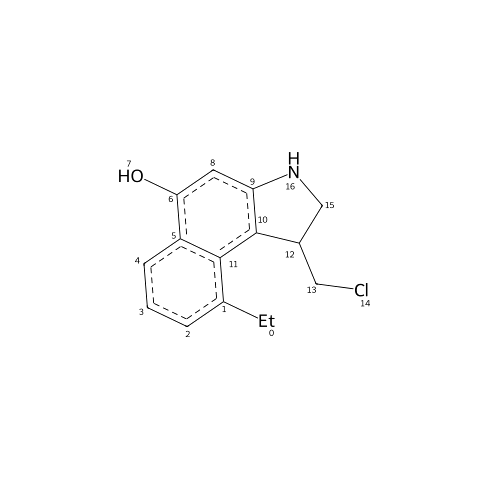 CCc1cccc2c(O)cc3c(c12)C(CCl)CN3